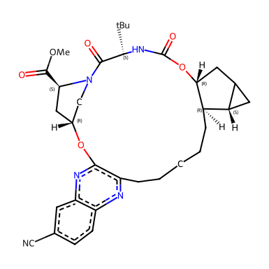 COC(=O)[C@@H]1C[C@@H]2CN1C(=O)[C@H](C(C)(C)C)NC(=O)O[C@@H]1CC3C[C@@H]3[C@H]1CCCCCc1nc3ccc(C#N)cc3nc1O2